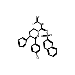 N=C(S)N/C(=N/S(=O)(=O)c1ccc2ccccc2c1)N1CCC(c2ccccc2)C(c2ccc(Cl)cc2)=N1